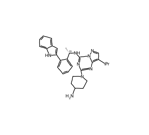 CC(C)c1cnn2c(N[C@@H](C)c3ccccc3-c3cc4ccccc4[nH]3)nc(N3CCC(N)CC3)nc12